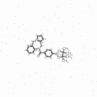 CC1(C)OB(c2ccc(C(=O)N3Cc4cccn4Cc4ccccc43)cc2)OC1(C)C